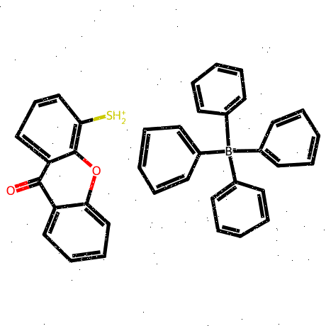 O=c1c2ccccc2oc2c([SH2+])cccc12.c1ccc([B-](c2ccccc2)(c2ccccc2)c2ccccc2)cc1